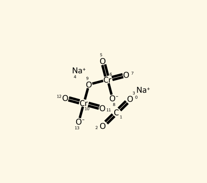 O=C=O.[Na+].[Na+].[O]=[Cr](=[O])([O-])[O][Cr](=[O])(=[O])[O-]